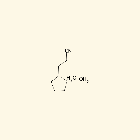 N#CCCC1CCCC1.O.O